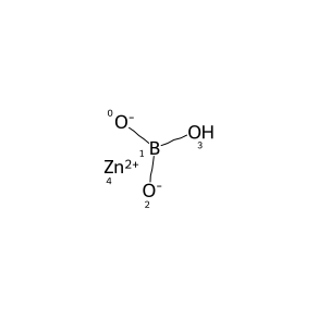 [O-]B([O-])O.[Zn+2]